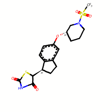 O=C1NC(=O)C([C@@H]2CCc3cc(O[C@H]4CCCN(S(=O)(=O)C(F)(F)F)C4)ccc32)S1